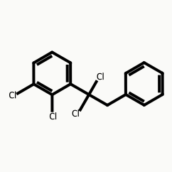 Clc1cccc(C(Cl)(Cl)Cc2ccccc2)c1Cl